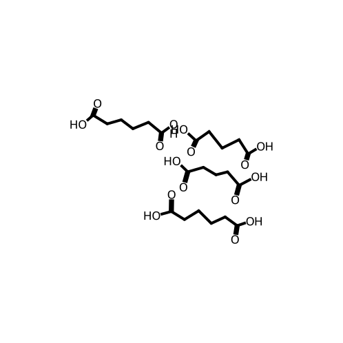 O=C(O)CCCC(=O)O.O=C(O)CCCC(=O)O.O=C(O)CCCCC(=O)O.O=C(O)CCCCC(=O)O